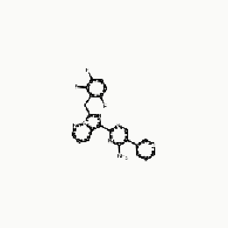 Nc1nc(-c2nc(Cc3c(F)ccc(F)c3F)n3ncccc23)ncc1-c1cccnc1